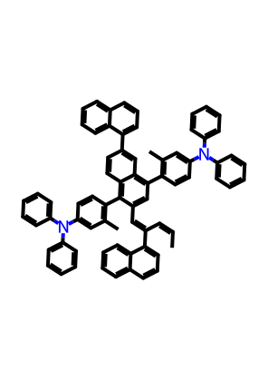 C/C=C\C(=C/c1cc(-c2ccc(N(c3ccccc3)c3ccccc3)cc2C)c2cc(-c3cccc4ccccc34)ccc2c1-c1ccc(N(c2ccccc2)c2ccccc2)cc1C)c1cccc2ccccc12